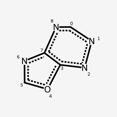 c1nnc2ocnc2n1